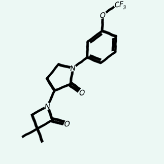 CC1(C)CN(C2CCN(c3cccc(OC(F)(F)F)c3)C2=O)C1=O